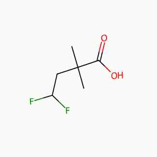 CC(C)(CC(F)F)C(=O)O